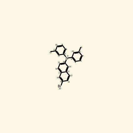 Cc1cccc(N(c2cccc(C)c2)c2ccc3cc(Br)ccc3c2)c1